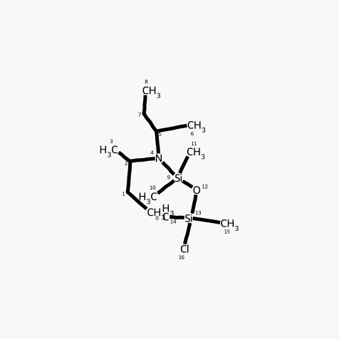 CCC(C)N(C(C)CC)[Si](C)(C)O[Si](C)(C)Cl